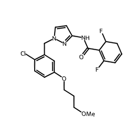 COCCCOc1ccc(Cl)c(Cn2ccc(NC(=O)C3=C(F)C=CCC3F)n2)c1